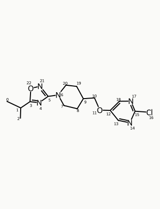 CC(C)c1nc(N2CCC(COc3cnc(Cl)nc3)CC2)no1